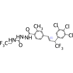 Cc1cc(/C=C/C(c2cc(Cl)c(Cl)c(Cl)c2)C(F)(F)F)ccc1C(=O)NNC(=O)NCC(F)(F)F